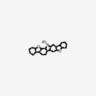 CC(C)n1c2cc3c(cc2c2ccc4c5ccccc5oc4c21)oc1ccccc13